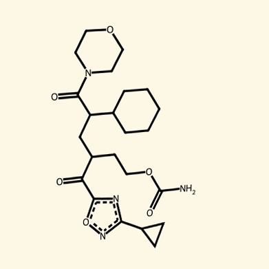 NC(=O)OCCC(CC(C(=O)N1CCOCC1)C1CCCCC1)C(=O)c1nc(C2CC2)no1